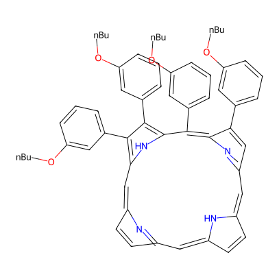 CCCCOc1cccc(C2=Cc3cc4ccc(cc5nc(cc6[nH]c(c(-c7cccc(OCCCC)c7)c2n3)c(-c2cccc(OCCCC)c2)c6-c2cccc(OCCCC)c2)C=C5)[nH]4)c1